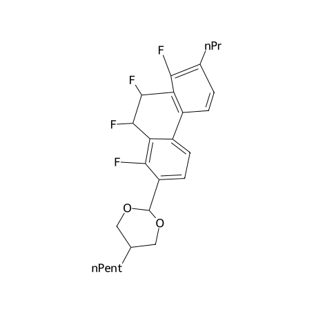 CCCCCC1COC(c2ccc3c(c2F)C(F)C(F)c2c-3ccc(CCC)c2F)OC1